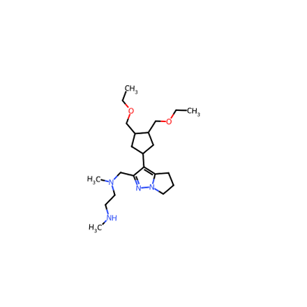 CCOCC1CC(c2c(CN(C)CCNC)nn3c2CCC3)CC1COCC